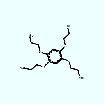 CC(C)(C)CCOc1cc(OCCC(C)(C)C)c(OCCC(C)(C)C)cc1OCCC(C)(C)C